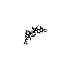 C[C@H]1c2c(Cl)cc(Cl)cc2CCN1C(=O)[C@H]1CN(c2cncc3nc(NCC4CC4)oc23)CCO1